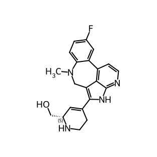 CN1Cc2c(C3=C[C@@H](CO)NCC3)[nH]c3nccc(c23)-c2cc(F)ccc21